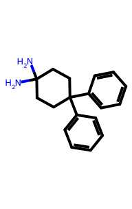 NC1(N)CCC(c2ccccc2)(c2ccccc2)CC1